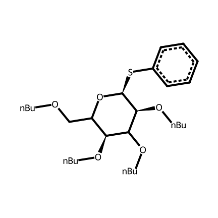 CCCCOCC1O[C@@H](Sc2ccccc2)[C@@H](OCCCC)C(OCCCC)[C@H]1OCCCC